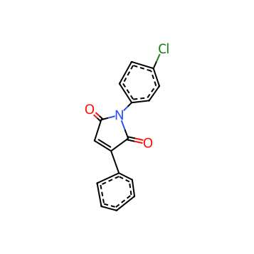 O=C1C=C(c2ccccc2)C(=O)N1c1ccc(Cl)cc1